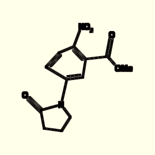 COC(=O)c1cc(N2CCCC2=O)ccc1[N+](=O)[O-]